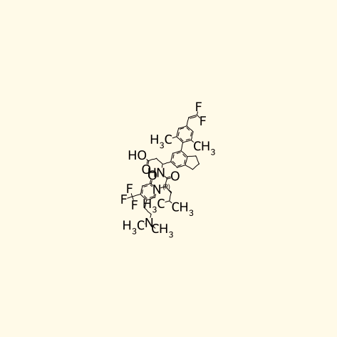 Cc1cc(C=C(F)F)cc(C)c1-c1cc(C(CC(=O)O)NC(=O)[C@@H](CC(C)C)n2cc(CCN(C)C)c(C(F)(F)F)cc2=O)cc2c1CCC2